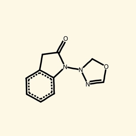 O=C1Cc2ccccc2N1N1COC=N1